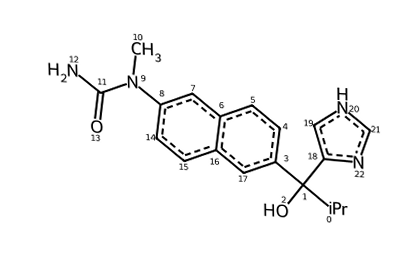 CC(C)C(O)(c1ccc2cc(N(C)C(N)=O)ccc2c1)c1c[nH]cn1